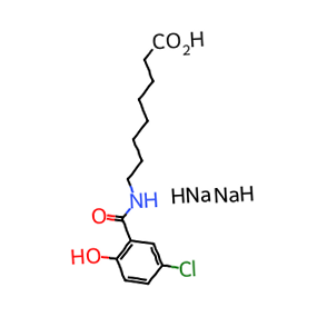 O=C(O)CCCCCCCNC(=O)c1cc(Cl)ccc1O.[NaH].[NaH]